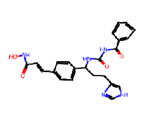 O=C(C=Cc1ccc(C(CCc2c[nH]cn2)NC(=O)NC(=O)c2ccccc2)cc1)NO